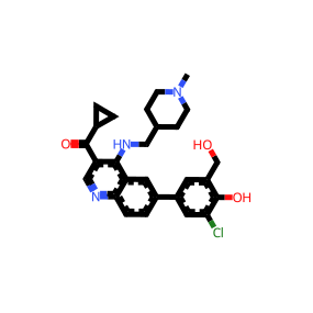 CN1CCC(CNc2c(C(=O)C3CC3)cnc3ccc(-c4cc(Cl)c(O)c(CO)c4)cc23)CC1